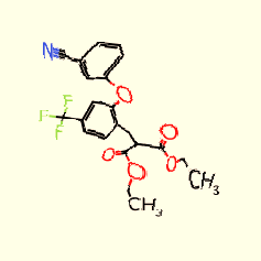 CCOC(=O)C(Cc1ccc(C(F)(F)F)cc1Oc1cccc(C#N)c1)C(=O)OCC